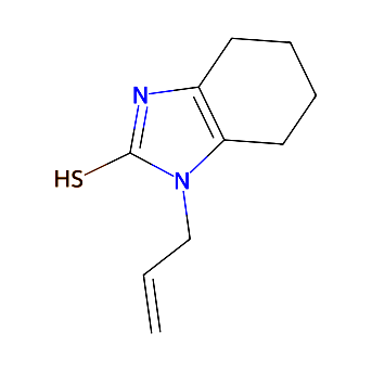 C=CCn1c(S)nc2c1CCCC2